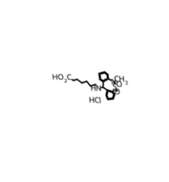 CN1c2ccccc2C(NCCCCCCC(=O)O)c2ccccc2S1(=O)=O.Cl